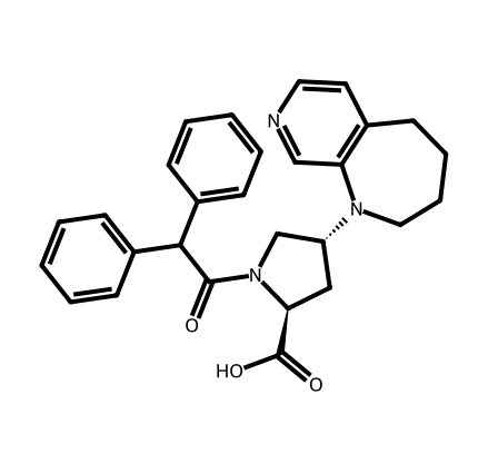 O=C(O)[C@@H]1C[C@@H](N2CCCCc3ccncc32)CN1C(=O)C(c1ccccc1)c1ccccc1